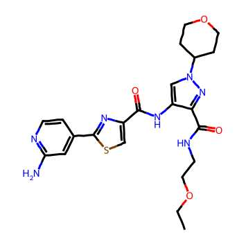 CCOCCNC(=O)c1nn(C2CCOCC2)cc1NC(=O)c1csc(-c2ccnc(N)c2)n1